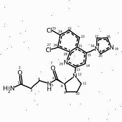 NC(=O)CCNC(=O)[C@@H]1CCCN1c1cc(-n2ccnc2)c2ccc(Cl)c(Cl)c2n1